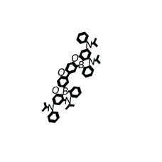 CC(C)N(c1ccccc1)c1cc2c3c(c1)N(C(C)C)c1ccccc1B3c1cc3c(cc1O2)oc1cc2c(cc13)B1c3ccccc3N(C(C)C)c3cc(N(c4ccccc4)C(C)C)cc(c31)O2